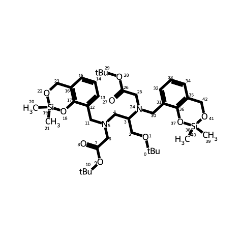 CC(C)(C)OCC(CN(CC(=O)OC(C)(C)C)Cc1cccc2c1O[Si](C)(C)OC2)N(CC(=O)OC(C)(C)C)Cc1cccc2c1O[Si](C)(C)OC2